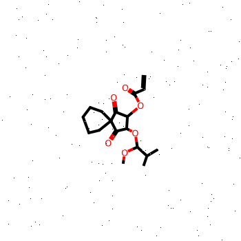 C=CC(=O)OC1C(=O)C2(CCCCC2)C(=O)C1OC(OC)C(C)C